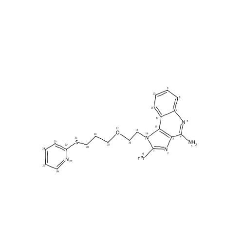 CCCc1nc2c(N)nc3ccccc3c2n1CCOCCCSc1ccccn1